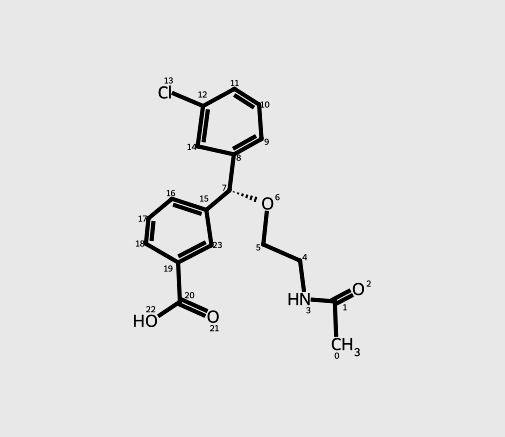 CC(=O)NCCO[C@@H](c1cccc(Cl)c1)c1cccc(C(=O)O)c1